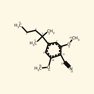 CCCC(C)(C)c1cc(OC)c(C#N)c(OC)c1